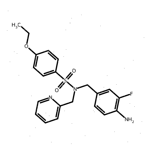 CCOc1ccc(S(=O)(=O)N(Cc2ccc(N)c(F)c2)Cc2ccccn2)cc1